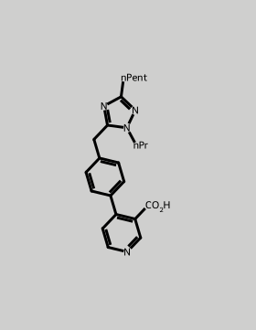 CCCCCc1nc(Cc2ccc(-c3ccncc3C(=O)O)cc2)n(CCC)n1